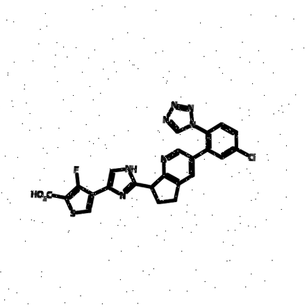 O=C(O)c1scc(-c2c[nH]c(C3CCc4cc(-c5cc(Cl)ccc5-n5cnnn5)cnc43)n2)c1F